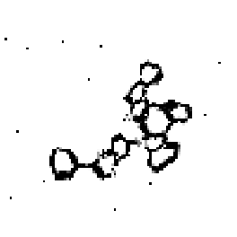 C1=CCc2ccc3oc4c5c(c6ccccc6c4c3c2C=C1)C1=CC=CCC1N5c1ccc2nc(-c3ccccc3)cnc2c1